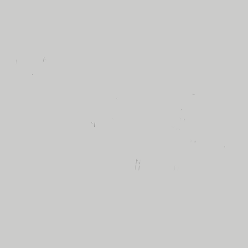 CCOC(=O)C1=C(C)Nc2cc(-c3ccccc3)n(-c3ccc(C(F)(F)F)cc3)c(=O)c2C1c1ccccc1C(F)(F)F